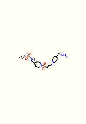 CS(=O)(=O)NCC1CCN(S(=O)(=O)CCCN2CCC(CN)CC2)CC1